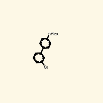 [CH2]CCCCCc1ccc(-c2cccc(Br)c2)cc1